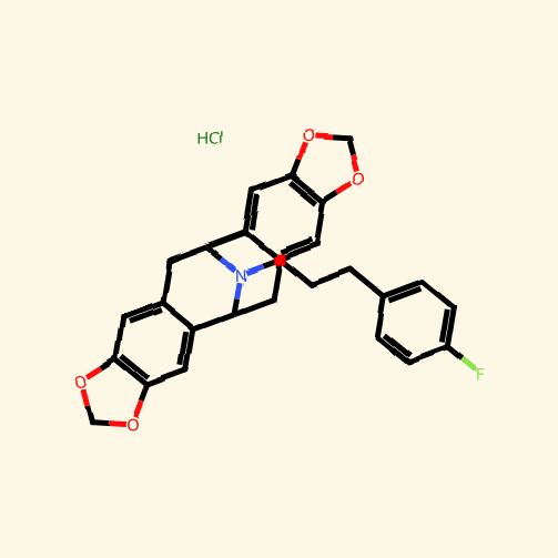 Cl.Fc1ccc(CCCN2C3Cc4cc5c(cc4C2Cc2cc4c(cc23)OCO4)OCO5)cc1